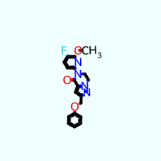 COc1nc(N2CCn3nc(COc4ccccc4)cc3C2=O)ccc1F